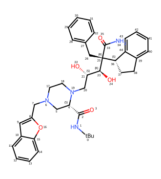 CC(C)(C)NC(=O)[C@@H]1CN(Cc2cc3ccccc3o2)CCN1C[C@H](O)[C@H](O)[C@](Cc1ccccc1)(C(N)=O)[C@H]1CCc2ccccc21